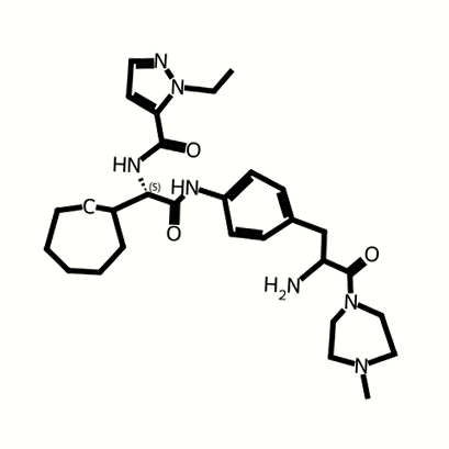 CCn1nccc1C(=O)N[C@H](C(=O)Nc1ccc(CC(N)C(=O)N2CCN(C)CC2)cc1)C1CCCCCC1